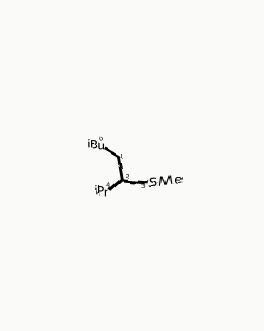 CCC(C)CC(SC)C(C)C